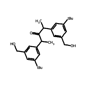 CC(C(=O)C(C)c1cc(CO)cc(C(C)(C)C)c1)c1cc(CO)cc(C(C)(C)C)c1